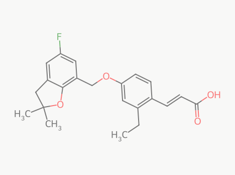 CCc1cc(OCc2cc(F)cc3c2OC(C)(C)C3)ccc1C=CC(=O)O